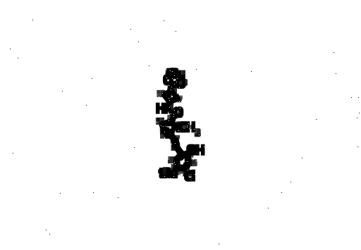 Cn1c(C(=O)NC2CN(C(=O)OC(C)(C)C)C2)cnc1C#Cc1cc(C(C)(C)C)c(Cl)cc1O